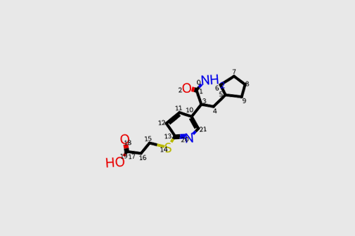 NC(=O)C(CC1CCCC1)c1ccc(SCCC(=O)O)nc1